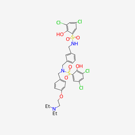 CCN(CC)CCOc1ccc(CN(Cc2cccc(CNS(=O)(=O)c3cc(Cl)cc(Cl)c3O)c2)S(=O)(=O)c2cc(Cl)cc(Cl)c2O)cc1